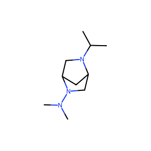 CC(C)N1CC2CC1CN2N(C)C